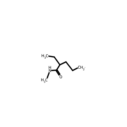 [CH2]CCC(CC)C(=O)NC